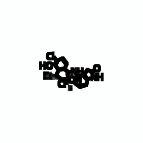 CC[C@H]1C[C@@](O)(C(F)(F)F)[C@@H](Nc2cccc3c2CC(=O)N3)c2ccc(Cl)c(O)c21